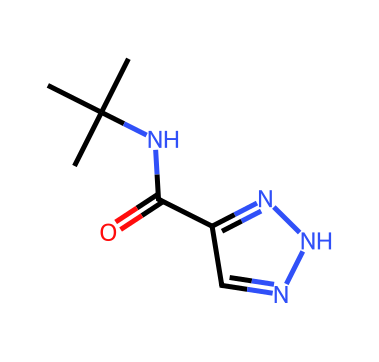 CC(C)(C)NC(=O)c1cn[nH]n1